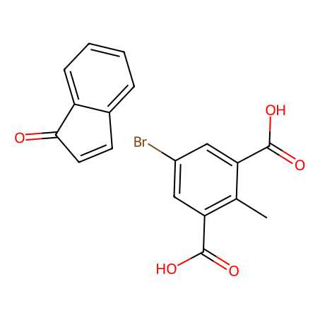 Cc1c(C(=O)O)cc(Br)cc1C(=O)O.O=C1C=Cc2ccccc21